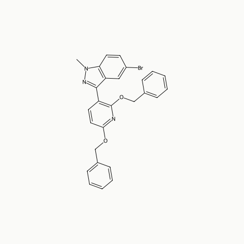 Cn1nc(-c2ccc(OCc3ccccc3)nc2OCc2ccccc2)c2cc(Br)ccc21